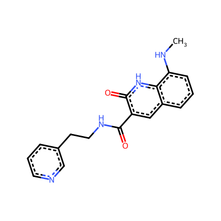 CNc1cccc2cc(C(=O)NCCc3cccnc3)c(=O)[nH]c12